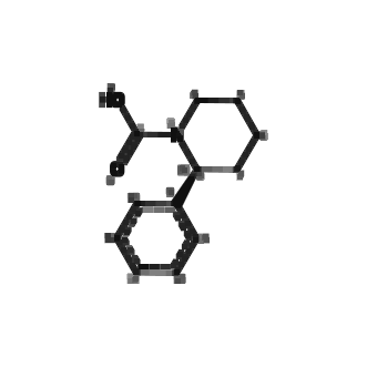 O=C(O)N1CCCC[C@H]1c1ccccc1